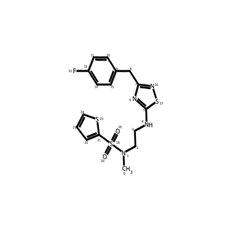 CN(CCNc1nc(Cc2ccc(F)cc2)ns1)S(=O)(=O)c1cccs1